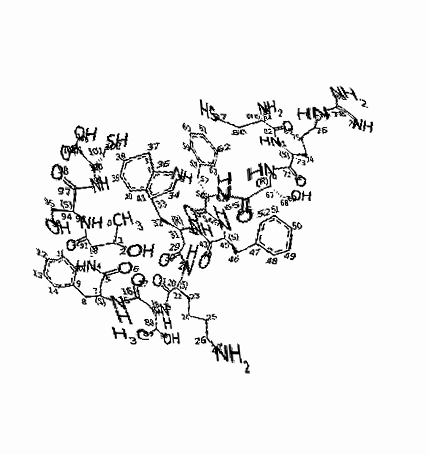 CC(O)[C@H](NC(=O)[C@H](Cc1ccccc1)NC(=O)[C@@H](NC(=O)[C@H](CCCCN)NC(=O)[C@@H](Cc1c[nH]c2ccccc12)NC(=O)[C@H](Cc1ccccc1)NC(=O)[C@H](Cc1ccccc1)NC(=O)[C@@H](CO)NC(=O)[C@H](CCCNC(=N)N)NC(=O)[C@@H](N)CS)C(C)O)C(=O)N[C@@H](CO)C(=O)N[C@@H](CS)C(=O)O